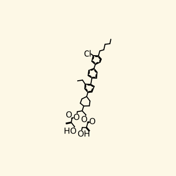 C=C(CO)C(=O)OCC(COC(=O)C(=C)CO)C1CCC(c2ccc(-c3ccc(-c4ccc(CCCCC)c(Cl)c4)cc3)c(CC)c2)CC1